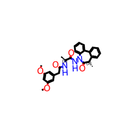 COc1cc(CC(=O)N[C@@H](C)C(=O)NN2C(=O)[C@@H](C)c3ccccc3-c3ccccc32)cc(OC)c1